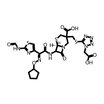 O=CNc1nc(C(=NOC2CCCC2)C(=O)NC2C(=O)N3CC(CSc4nnnn4CC(=O)O)(C(=O)O)CS[C@H]23)cs1